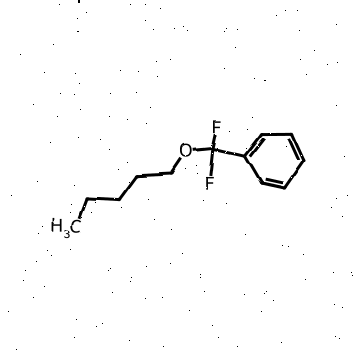 CCCCCOC(F)(F)c1ccccc1